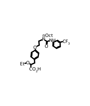 CCCCCCCCN(CCOc1ccc(CC(OCC)C(=O)O)cc1)C(=O)Nc1cccc(C(F)(F)F)c1